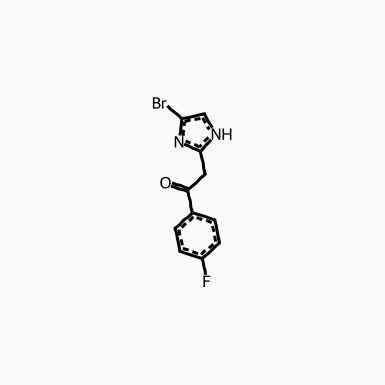 O=C(Cc1nc(Br)c[nH]1)c1ccc(F)cc1